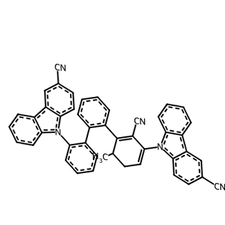 CC1CC=C(n2c3ccccc3c3cc(C#N)ccc32)C(C#N)=C1c1ccccc1-c1ccccc1-n1c2ccccc2c2cc(C#N)ccc21